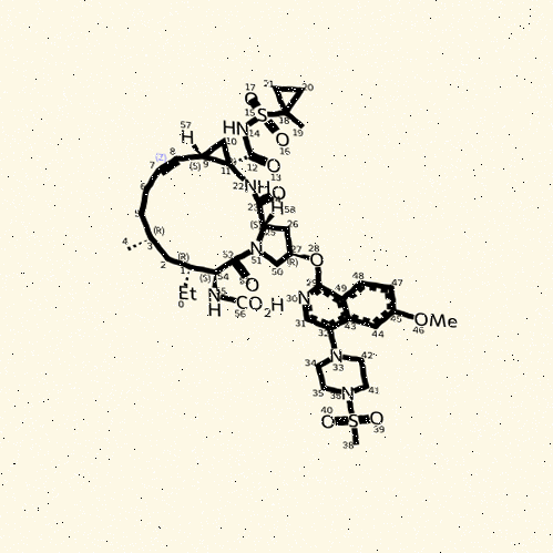 CC[C@@H]1C[C@H](C)CC/C=C\[C@@H]2C[C@@]2(C(=O)NS(=O)(=O)C2(C)CC2)NC(=O)[C@@H]2C[C@@H](Oc3ncc(N4CCN(S(C)(=O)=O)CC4)c4cc(OC)ccc34)CN2C(=O)[C@H]1NC(=O)O